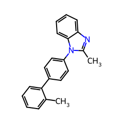 Cc1ccccc1-c1ccc(-n2c(C)nc3ccccc32)cc1